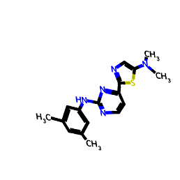 Cc1cc(C)cc(Nc2nccc(-c3ncc(N(C)C)s3)n2)c1